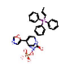 CC=C[P+](c1ccccc1)(c1ccccc1)c1ccccc1.O=C1N2CC=C(c3cnco3)C(C2)N1OS(=O)(=O)[O-]